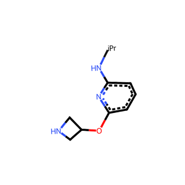 CC(C)Nc1cccc(OC2CNC2)n1